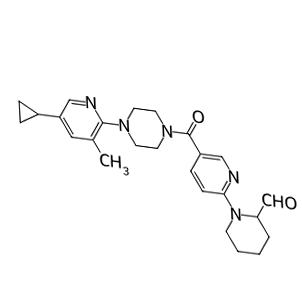 Cc1cc(C2CC2)cnc1N1CCN(C(=O)c2ccc(N3CCCCC3C=O)nc2)CC1